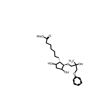 COC(=O)CCCCCC[C@H]1C(O)CC(O)[C@@H]1SCC(C)(O)COc1ccccc1